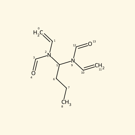 C=CN(C=O)C(CCC)N(C=C)C=O